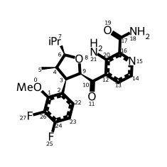 COc1c([C@H]2[C@@H](C)[C@@H](C(C)C)O[C@H]2C(=O)c2ccnc(C(N)=O)c2N)ccc(F)c1F